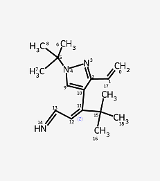 C=Cc1nn(C(C)(C)C)cc1/C(=C\C=N)C(C)(C)C